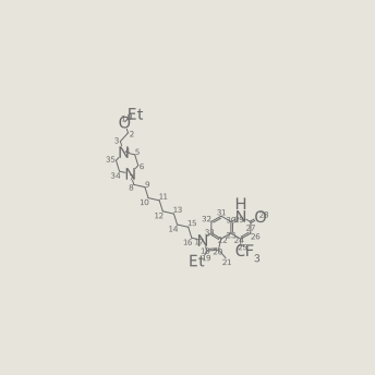 CCOCCN1CCN(CCCCCCCCCn2c(CC)c(C)c3c4c(C(F)(F)F)cc(=O)[nH]c4ccc32)CC1